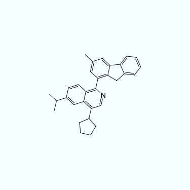 Cc1cc2c(c(-c3ncc(C4CCCC4)c4cc(C(C)C)ccc34)c1)Cc1ccccc1-2